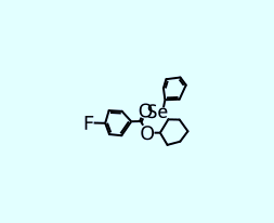 O=C(OC1CCCCC1[Se]c1ccccc1)c1ccc(F)cc1